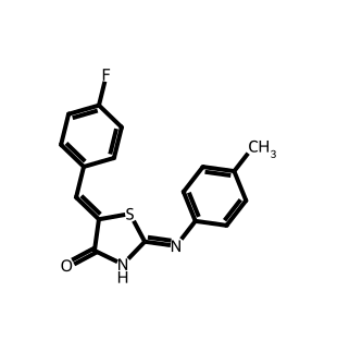 Cc1ccc(/N=C2/NC(=O)/C(=C/c3ccc(F)cc3)S2)cc1